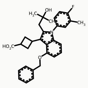 Cc1cc(-n2c(CC(C)(C)O)c(C3CC(C(=O)O)C3)c3c(OCc4ccccc4)cccc32)ccc1F